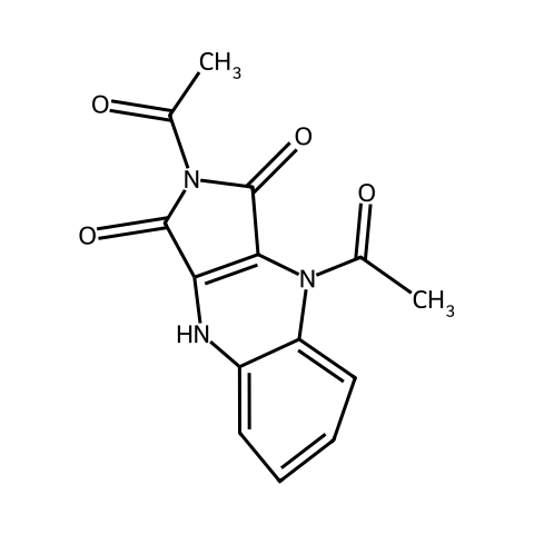 CC(=O)n1c(=O)c2[nH]c3ccccc3n(C(C)=O)c=2c1=O